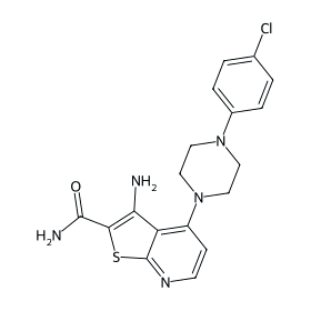 NC(=O)c1sc2nccc(N3CCN(c4ccc(Cl)cc4)CC3)c2c1N